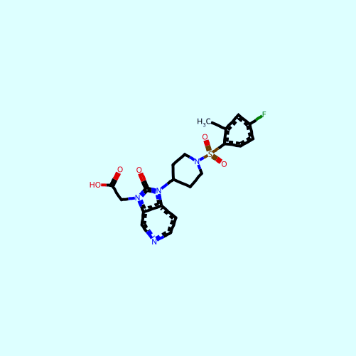 Cc1cc(F)ccc1S(=O)(=O)N1CCC(n2c(=O)n(CC(=O)O)c3cnccc32)CC1